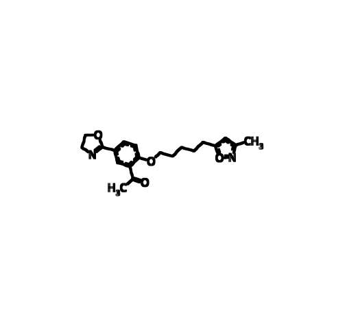 CC(=O)c1cc(C2=NCCO2)ccc1OCCCCCc1cc(C)no1